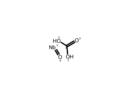 O=C(O)O.[O]=[Nb]